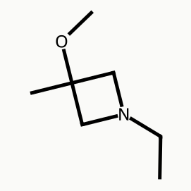 CCN1CC(C)(OC)C1